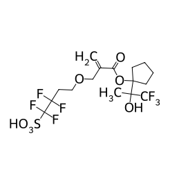 C=C(COCCC(F)(F)C(F)(F)S(=O)(=O)O)C(=O)OC1(C(C)(O)C(F)(F)F)CCCC1